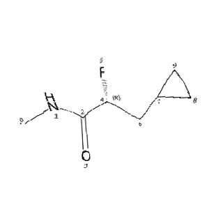 [CH2]NC(=O)[C@H](F)CC1CC1